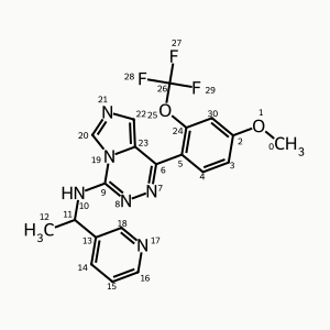 COc1ccc(-c2nnc(NC(C)c3cccnc3)n3cncc23)c(OC(F)(F)F)c1